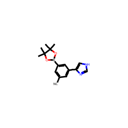 CC1(C)OB(c2cc(C#N)cc(-c3c[nH]cn3)c2)OC1(C)C